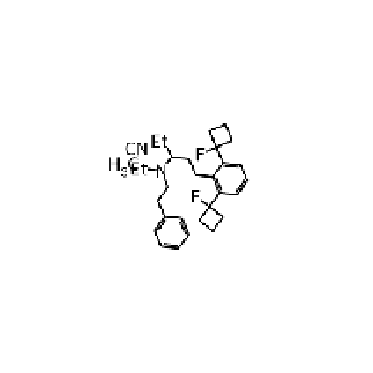 CC#N.CCC(CCc1c(C2(F)CCC2)cccc1C1(F)CCC1)N(CC)CCc1ccccc1